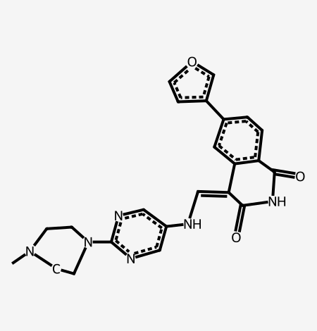 CN1CCN(c2ncc(N/C=C3\C(=O)NC(=O)c4ccc(-c5ccoc5)cc43)cn2)CC1